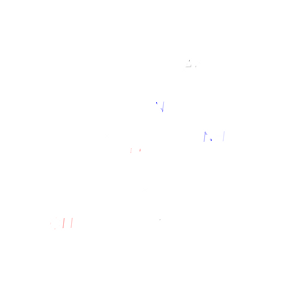 CC(=O)C1CNCCN1CC(C)C(O)c1cccc(O)c1.c1cc2ccc1-2